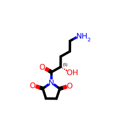 NCCC[C@H](O)C(=O)N1C(=O)CCC1=O